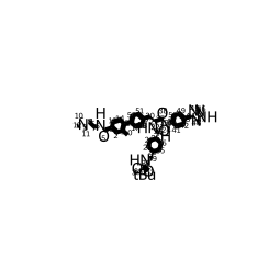 Cc1cc(C(=O)NCC[N+](C)(C)C)ccc1-c1ccc(C[C@H](NC(=O)[C@H]2CC[C@H](CNC(=O)OC(C)(C)C)CC2)C(=O)Nc2ccc(-c3nn[nH]n3)cc2)cc1